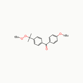 CCCCOc1ccc(C(=O)c2ccc(C(C)(C)OOC(C)(C)C)cc2)cc1